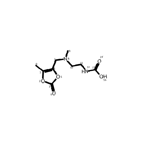 Cc1oc(=O)oc1CN(C)CCNC(=O)O